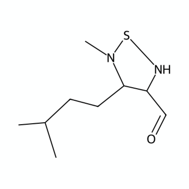 CC(C)CCC1C(C=O)NSN1C